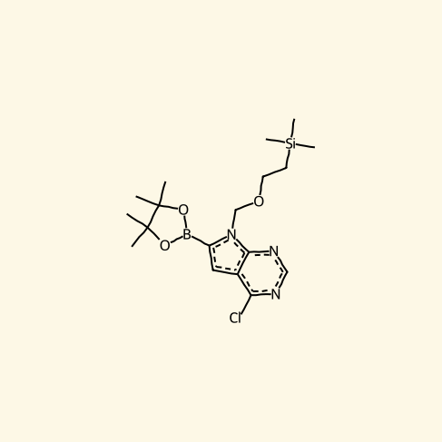 CC1(C)OB(c2cc3c(Cl)ncnc3n2COCC[Si](C)(C)C)OC1(C)C